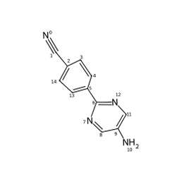 N#Cc1ccc(-c2ncc(N)cn2)cc1